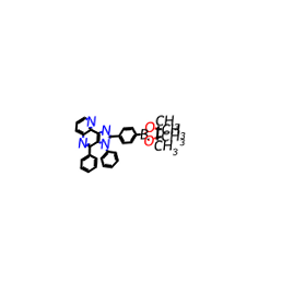 CC1(C)OB(c2ccc(-c3nc4c5ncccc5nc(-c5ccccc5)c4n3-c3ccccc3)cc2)OC1(C)C